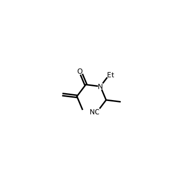 C=C(C)C(=O)N(CC)C(C)C#N